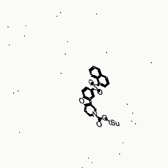 CC(C)(C)OC(=O)N1CCc2oc3ccc(S(=O)(=O)c4cccc5ccccc45)cc3c2C1